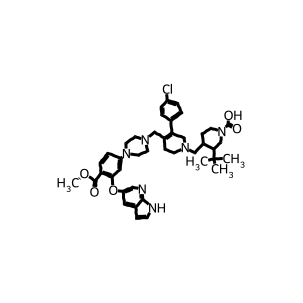 COC(=O)c1ccc(N2CCN(CC3=C(c4ccc(Cl)cc4)CN(CC4CCN(C(=O)O)CC4C(C)(C)C)CC3)CC2)cc1Oc1cnc2[nH]ccc2c1